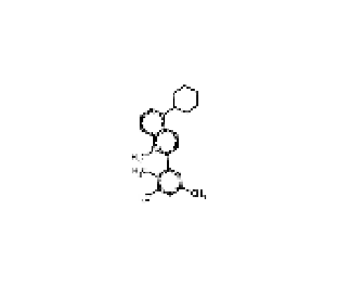 Cc1cc(C)c(C)c(-c2ccc3c(C4CCCCC4)cccc3[n+]2C)c1